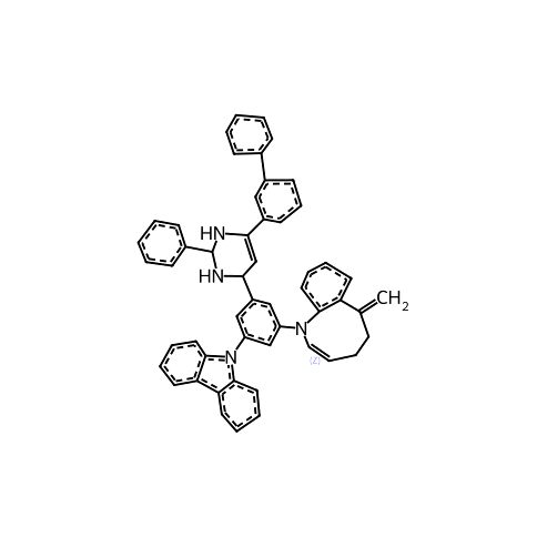 C=C1CC/C=C\N(c2cc(C3C=C(c4cccc(-c5ccccc5)c4)NC(c4ccccc4)N3)cc(-n3c4ccccc4c4ccccc43)c2)c2ccccc21